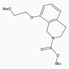 COCCOc1cccc2c1CN(C(=O)OC(C)(C)C)CC2